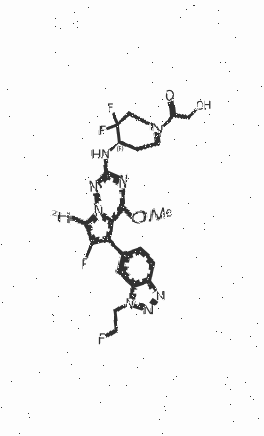 [2H]c1c(F)c(-c2ccc3nnn(CCF)c3c2)c2c(OC)nc(N[C@@H]3CCN(C(=O)CO)CC3(F)F)nn12